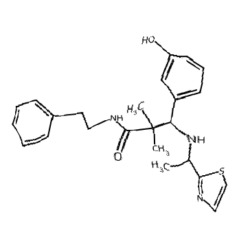 CC(NC(c1cccc(O)c1)C(C)(C)C(=O)NCCc1ccccc1)c1nccs1